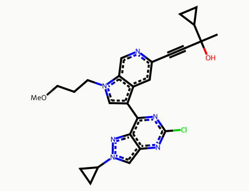 COCCCn1cc(-c2nc(Cl)nc3cn(C4CC4)nc23)c2cc(C#CC(C)(O)C3CC3)ncc21